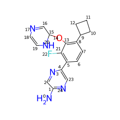 Nc1cnc(-c2ccc(C3CCC3)c(OC3C=NC=CN3)c2F)cn1